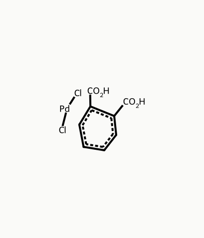 O=C(O)c1ccccc1C(=O)O.[Cl][Pd][Cl]